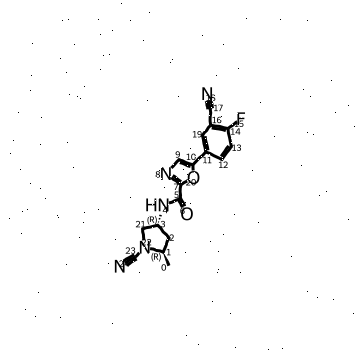 C[C@@H]1C[C@@H](NC(=O)c2ncc(-c3ccc(F)c(C#N)c3)o2)CN1C#N